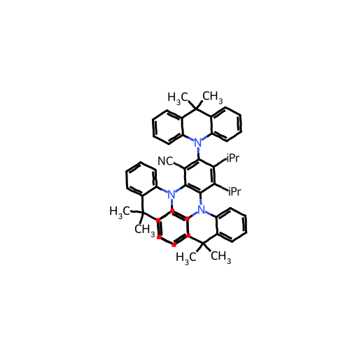 CC(C)c1c(C(C)C)c(N2c3ccccc3C(C)(C)c3ccccc32)c(N2c3ccccc3C(C)(C)c3ccccc32)c(C#N)c1N1c2ccccc2C(C)(C)c2ccccc21